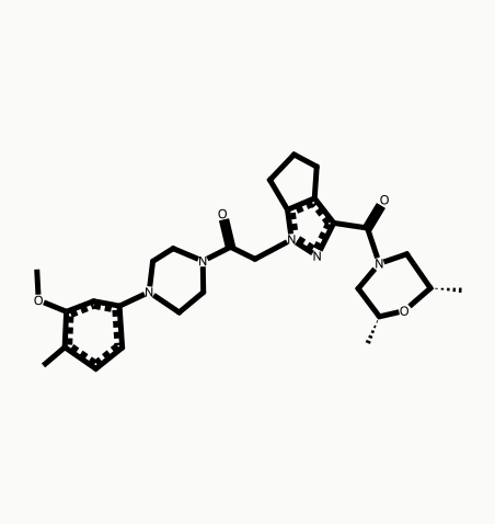 COc1cc(N2CCN(C(=O)Cn3nc(C(=O)N4C[C@@H](C)O[C@@H](C)C4)c4c3CCC4)CC2)ccc1C